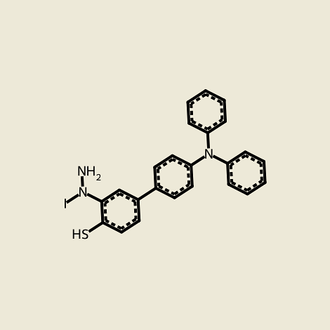 NN(I)c1cc(-c2ccc(N(c3ccccc3)c3ccccc3)cc2)ccc1S